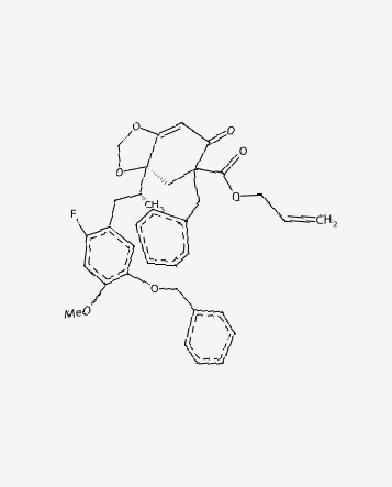 C=CCOC(=O)C1(Cc2ccccc2)C[C@]2([C@H](C)Cc3cc(OCc4ccccc4)c(OC)cc3F)OCOC2=CC1=O